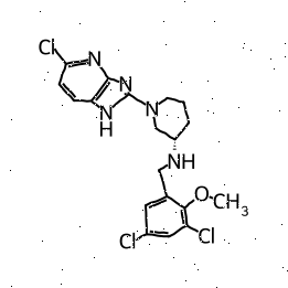 COc1c(Cl)cc(Cl)cc1CN[C@H]1CCCN(c2nc3nc(Cl)ccc3[nH]2)C1